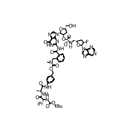 CC(C)[C@H](NC(=O)OC(C)(C)C)C(=O)N[C@@H](C)C(=O)Nc1ccc(COC(=O)N(C)Cc2ccccc2C(=O)Nc2nc3c(ncn3[C@@H]3O[C@H](CO)C[C@H]3OS(=O)(=O)NC[C@@H]3C[C@@H](F)[C@H](n4cnc5cncnc54)O3)c(=O)[nH]2)cc1